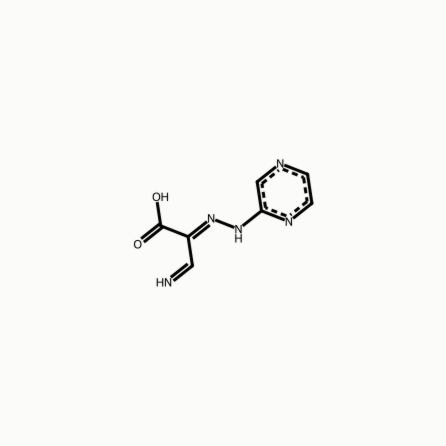 N=C/C(=N\Nc1cnccn1)C(=O)O